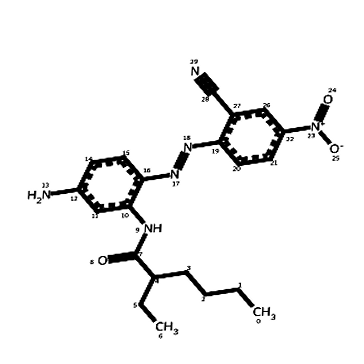 CCCCC(CC)C(=O)Nc1cc(N)ccc1N=Nc1ccc([N+](=O)[O-])cc1C#N